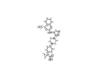 CC(OC(=O)Nc1cnoc1N1CCN(c2ccc(C3(C(=O)O)CC3)cc2)CC1)c1ccccc1